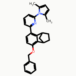 Cc1ccc(C)n1-c1cccc(-c2ccc(OCc3ccccc3)c3c2C2CCC3C2)n1